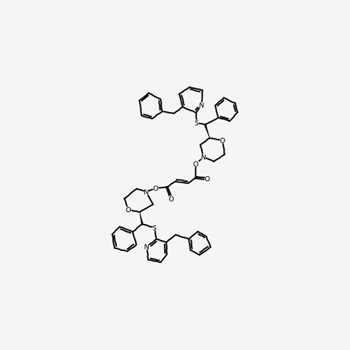 O=C(/C=C/C(=O)ON1CCO[C@H](C(Sc2ncccc2Cc2ccccc2)c2ccccc2)C1)ON1CCO[C@H](C(Sc2ncccc2Cc2ccccc2)c2ccccc2)C1